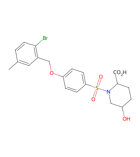 Cc1ccc(Br)c(COc2ccc(S(=O)(=O)N3CC(O)CCC3C(=O)O)cc2)c1